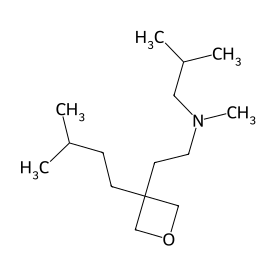 CC(C)CCC1(CCN(C)CC(C)C)COC1